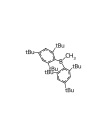 CB(c1c(C(C)(C)C)cc(C(C)(C)C)cc1C(C)(C)C)c1c(C(C)(C)C)cc(C(C)(C)C)cc1C(C)(C)C